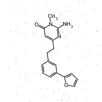 Cn1c(N)nc(CCc2cccc(-c3ccco3)c2)cc1=O